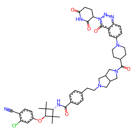 CC1(C)[C@H](NC(=O)c2ccc(CCN3CC4CN(C(=O)C5CCN(c6ccc7nnn(C8CCC(=O)NC8=O)c(=O)c7c6)CC5)CC4C3)cc2)C(C)(C)[C@H]1Oc1ccc(C#N)c(Cl)c1